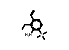 C=Cc1ccc([Si](C)(C)C)c(N)c1CC